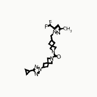 Cc1cc(C(F)F)n(CC2CC3(C2)CN(C(=O)N2CC4(CC(n5cnc(C6CC6)n5)C4)C2)C3)n1